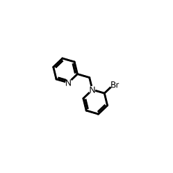 BrC1C=CC=CN1Cc1ccccn1